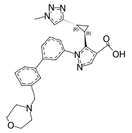 Cn1cc([C@@H]2C[C@H]2c2c(C(=O)O)cnn2-c2cccc(-c3cccc(CN4CCOCC4)c3)c2)nn1